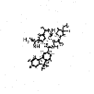 C[C@@H](NC(=O)[C@@H]1C[C@](F)(CF)CN1C(=O)CNC(=O)c1ccc2c(c1)-c1ccccc1C2(F)F)c1ccc(C(=N)N)s1